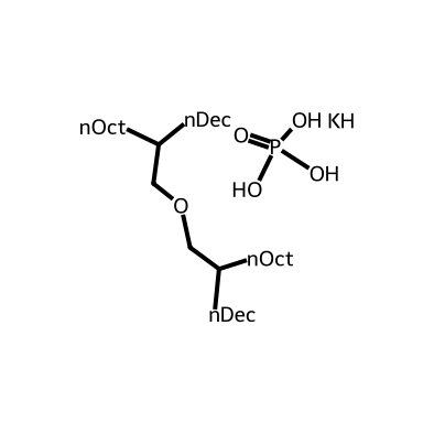 CCCCCCCCCCC(CCCCCCCC)COCC(CCCCCCCC)CCCCCCCCCC.O=P(O)(O)O.[KH]